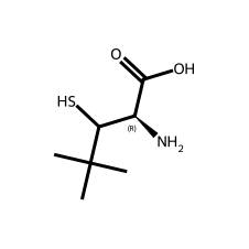 CC(C)(C)C(S)[C@H](N)C(=O)O